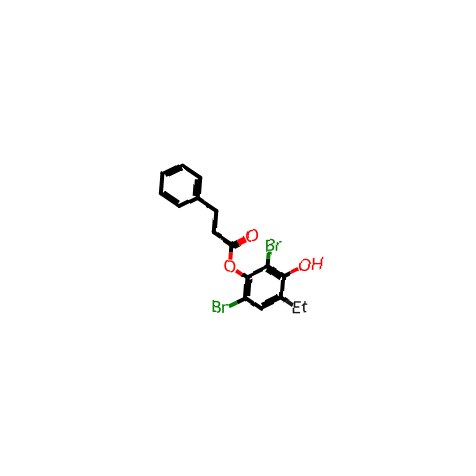 CCc1cc(Br)c(OC(=O)CCc2ccccc2)c(Br)c1O